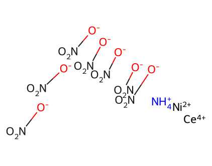 O=[N+]([O-])[O-].O=[N+]([O-])[O-].O=[N+]([O-])[O-].O=[N+]([O-])[O-].O=[N+]([O-])[O-].O=[N+]([O-])[O-].O=[N+]([O-])[O-].[Ce+4].[NH4+].[Ni+2]